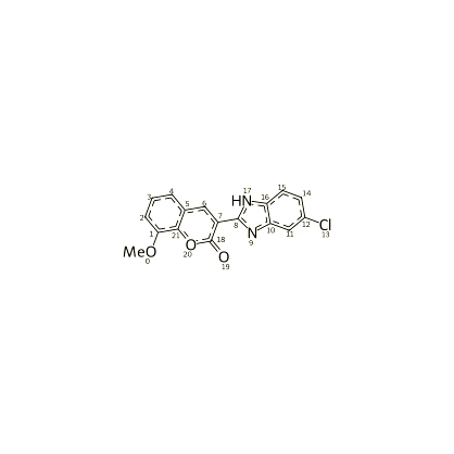 COc1cccc2cc(-c3nc4cc(Cl)ccc4[nH]3)c(=O)oc12